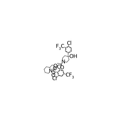 O=C(COCC1CCCCN1S(=O)(=O)c1c(Cl)cc(C(F)(F)F)cc1Cl)N1CCC(O)(c2ccc(Cl)c(C(F)(F)F)c2)CC1